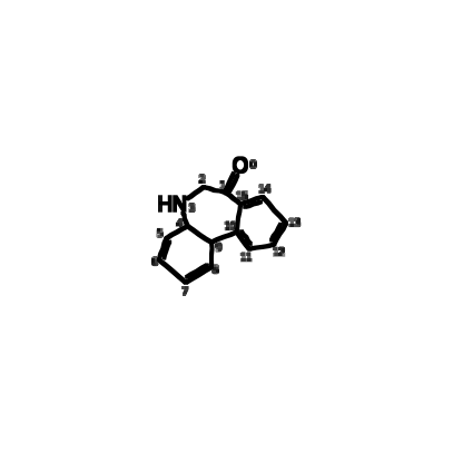 O=C1CNC2C=CC=CC2c2ccccc21